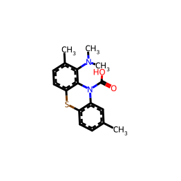 Cc1ccc2c(c1)N(C(=O)O)c1c(ccc(C)c1N(C)C)S2